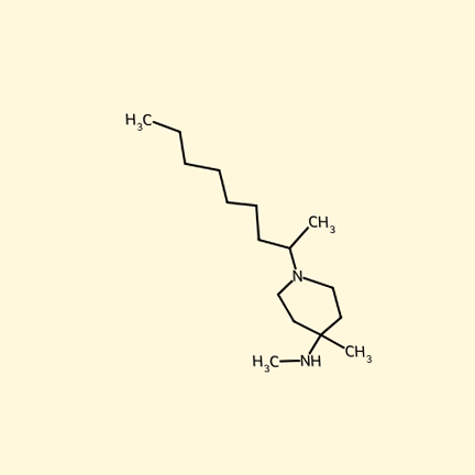 CCCCCCCC(C)N1CCC(C)(NC)CC1